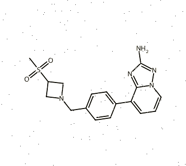 CS(=O)(=O)C1CN(Cc2ccc(-c3cccn4nc(N)nc34)cc2)C1